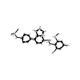 COc1cc(F)cc(F)c1CNc1ccc(-c2ccc(CN(C)C)cc2)c2nncn12